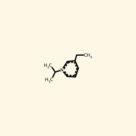 CCc1ccc[n+](C(C)C)c1